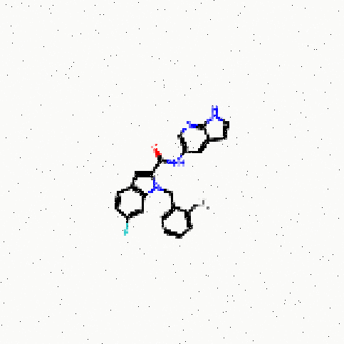 O=C(Nc1cnc2[nH]ccc2c1)c1cc2ccc(F)cc2n1Cc1ccccc1C(F)(F)F